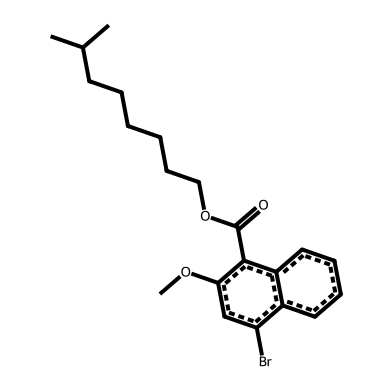 COc1cc(Br)c2ccccc2c1C(=O)OCCCCCCC(C)C